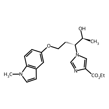 CCOC(=O)c1cn([C@H](CCOc2ccc3c(ccn3C)c2)[C@H](C)O)cn1